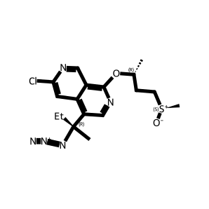 CC[C@@](C)(N=[N+]=[N-])c1cnc(O[C@H](C)CC[S@@+](C)[O-])c2cnc(Cl)cc12